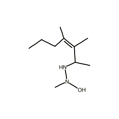 CCC/C(C)=C(/C)C(C)NN(C)O